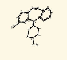 CN1CCC(=C2c3ccccc3C=Cc3ccc(Br)cc32)CC1